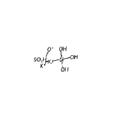 O=S(=O)([O-])O.O[Si](O)(O)O.[K+]